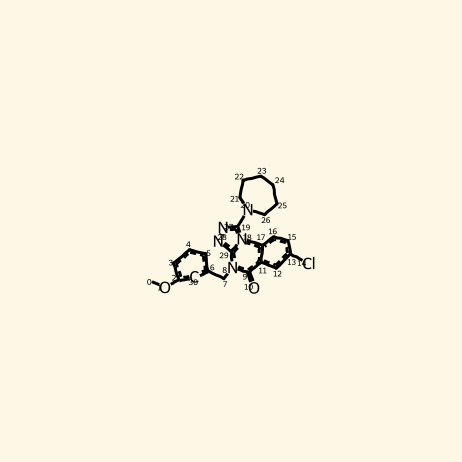 COc1cccc(Cn2c(=O)c3cc(Cl)ccc3n3c(N4CCCCCC4)nnc23)c1